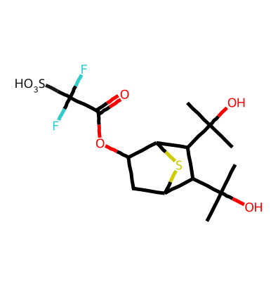 CC(C)(O)C1C2CC(OC(=O)C(F)(F)S(=O)(=O)O)C(S2)C1C(C)(C)O